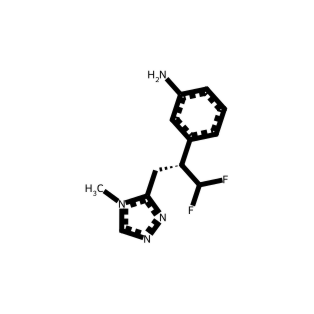 Cn1cnnc1C[C@H](c1cccc(N)c1)C(F)F